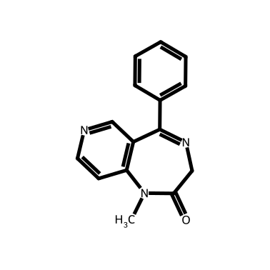 CN1C(=O)CN=C(c2ccccc2)c2cnccc21